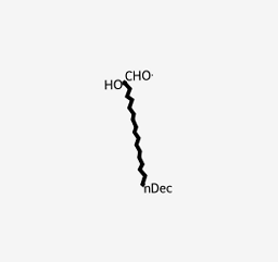 CCCCCCCCCCCCCCCCCCCCCCCCCCC(O)[C]=O